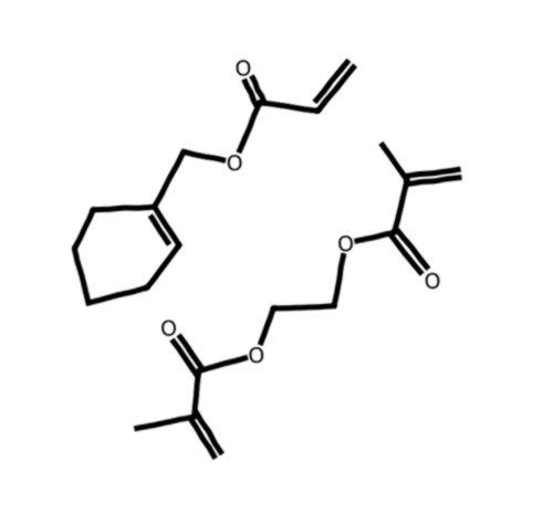 C=C(C)C(=O)OCCOC(=O)C(=C)C.C=CC(=O)OCC1=CCCCC1